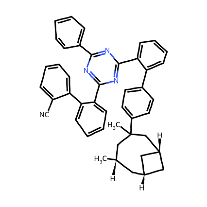 C[C@@H]1CC(C)(c2ccc(-c3ccccc3-c3nc(-c4ccccc4)nc(-c4ccccc4-c4ccccc4C#N)n3)cc2)C[C@H]2C[C@@H](C1)C2